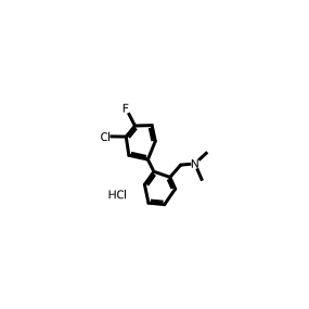 CN(C)Cc1ccccc1-c1ccc(F)c(Cl)c1.Cl